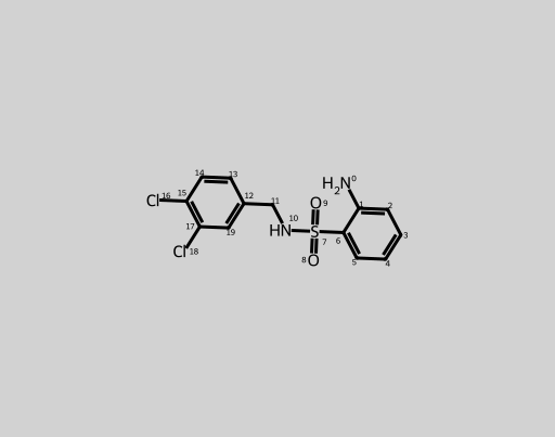 Nc1ccccc1S(=O)(=O)NCc1ccc(Cl)c(Cl)c1